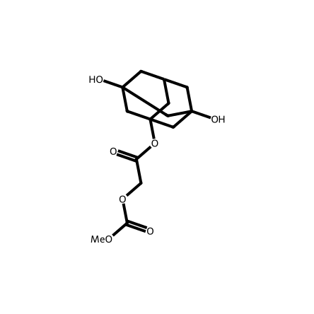 COC(=O)OCC(=O)OC12CC3CC(O)(CC(O)(C3)C1)C2